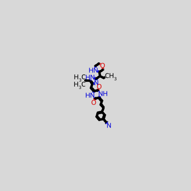 CCC(c1nc(C=c2[nH]c(=O)c(=CC=Cc3cccc(C#N)c3)[nH]c2=O)c(C(C)C)[nH]1)C1COCCN1